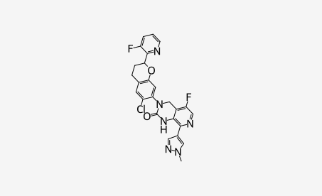 Cn1cc(-c2ncc(F)c3c2NC(=O)N(c2cc4c(cc2Cl)CCC(c2ncccc2F)O4)C3)cn1